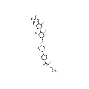 CCC/C(F)=C(\F)c1ccc(C2CCC(CCc3cc(F)c(-c4cc(F)c(OC(F)(F)F)c(F)c4)c(F)c3)OC2)cc1